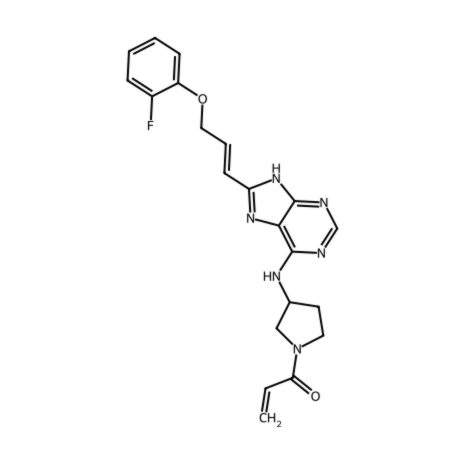 C=CC(=O)N1CCC(Nc2ncnc3[nH]c(/C=C/COc4ccccc4F)nc23)C1